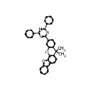 CC1(C)c2ccc(-c3nc(-c4ccccc4)nc(-c4ccccc4)n3)cc2Oc2c1ccc1c2oc2ccccc21